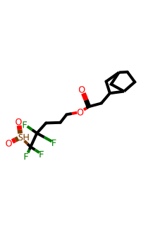 O=C(CC1CC2CCC1C2)OCCCC(F)(F)C(F)(F)[SH](=O)=O